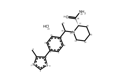 Cc1ncsc1-c1ccc(C(C)N2CCCC[C@H]2C(N)=O)cc1.Cl